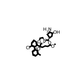 COCCCC[C@](O)(c1cccc(Cl)c1-c1cccc(C)c1)[C@H]1CN(C(=O)[C@H]2C[C@@H](N)[C@@H](O)C2)CCO1